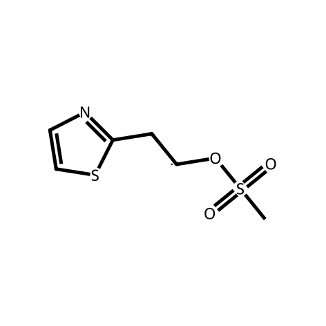 CS(=O)(=O)O[CH]Cc1nccs1